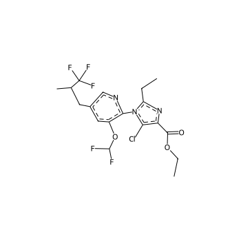 CCOC(=O)c1nc(CC)n(-c2ncc(CC(C)C(F)(F)F)cc2OC(F)F)c1Cl